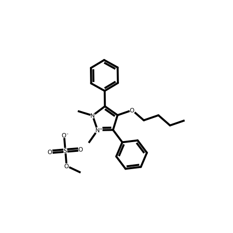 CCCCOc1c(-c2ccccc2)n(C)[n+](C)c1-c1ccccc1.COS(=O)(=O)[O-]